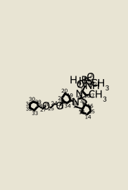 B[SH](C)(=O)NC(=O)c1nc(N(Cc2ccccc2)c2cccc(OCCOCc3ccccc3)c2)sc1C